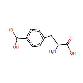 NC(Cc1ccc(B(O)O)cc1)C(=O)O